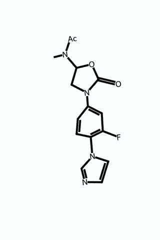 CC(=O)N(C)C1CN(c2ccc(-n3ccnc3)c(F)c2)C(=O)O1